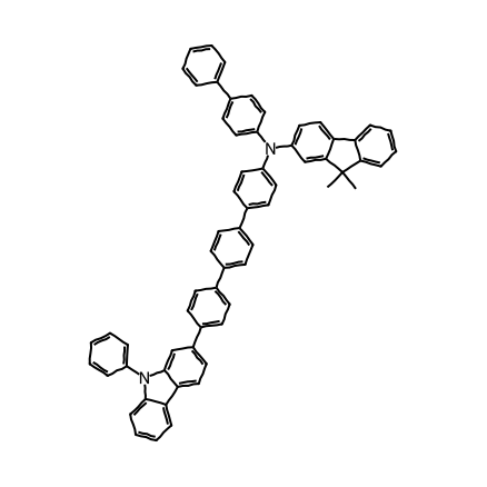 CC1(C)c2ccccc2-c2ccc(N(c3ccc(-c4ccccc4)cc3)c3ccc(-c4ccc(-c5ccc(-c6ccc7c8ccccc8n(-c8ccccc8)c7c6)cc5)cc4)cc3)cc21